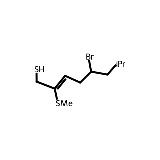 CS/C(=C\CC(Br)CC(C)C)CS